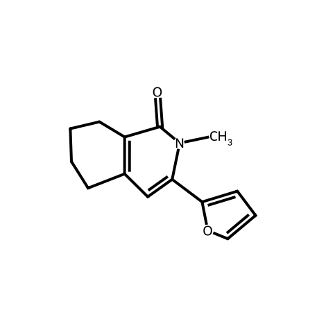 Cn1c(-c2ccco2)cc2c(c1=O)CCCC2